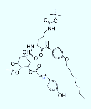 CCCCCCCCOc1ccc(NC(=O)C(CCCNC(=O)OC(C)(C)C)NC(=O)C2(O)CC(OC(=O)/C=C/c3ccc(O)cc3)C3OC(C)(C)OC3C2)cc1